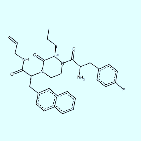 C=CCNC(=O)C(Cc1ccc2ccccc2c1)N1CCN(C(=O)C(N)Cc2ccc(F)cc2)[C@H](CCC)C1=O